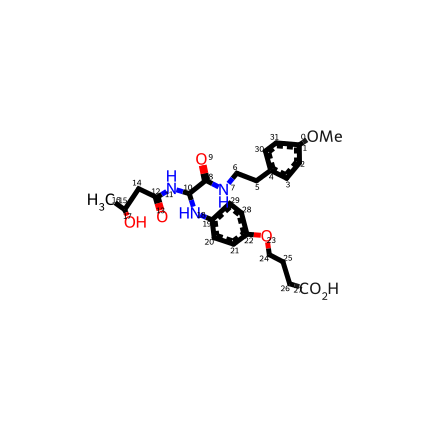 COc1ccc(CCNC(=O)C(NC(=O)CC(C)O)Nc2ccc(OCCCC(=O)O)cc2)cc1